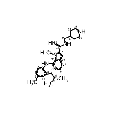 Cc1ccc(Nc2ncnc3cc(C(=N)NCC4CCNCC4)n(C)c23)c(CC(C)C)c1